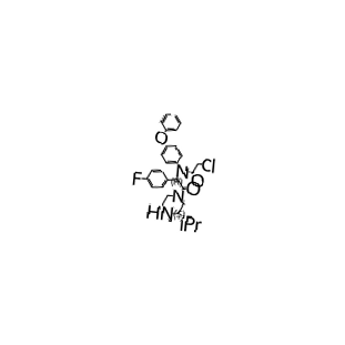 CC(C)[C@H]1CN(C(=O)[C@@H](c2ccc(F)cc2)N(C(=O)CCl)c2ccc(Oc3ccccc3)cc2)CCN1